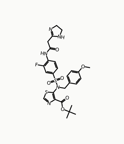 COc1ccc(CN(c2scnc2C(=O)OC(C)(C)C)S(=O)(=O)c2ccc(NC(=O)CC3=NCCN3)c(F)c2)cc1